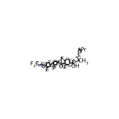 CCCOCCCC(C)COC(O)C1=CCC(F)=C(C(=O)Oc2ccc(-c3ccc(O/C=C/C(F)(F)F)c(F)c3)c(F)c2)C(F)=C1